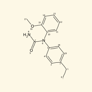 [CH2]Cc1ccc(N(C(N)=O)c2ccccc2OC)cc1